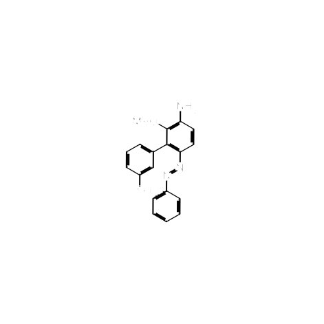 COc1c(N)ccc(N=Nc2ccccc2)c1-c1cccc(S(=O)(=O)O)c1